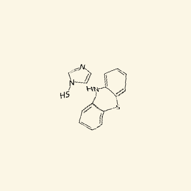 Sn1ccnc1.c1ccc2c(c1)Nc1ccccc1S2